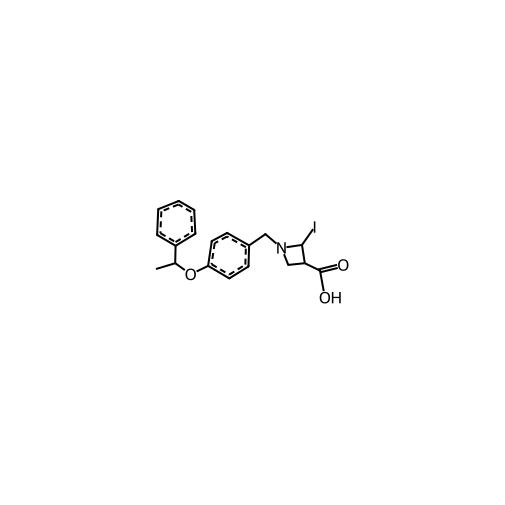 CC(Oc1ccc(CN2CC(C(=O)O)C2I)cc1)c1ccccc1